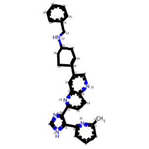 Cc1cccc(-c2[nH]cnc2-c2ccc3ncc(C4=CCC(NCc5ccccc5)CC4)cc3n2)n1